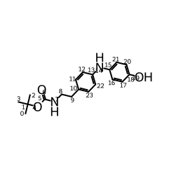 CC(C)(C)OC(=O)NCCc1ccc(Nc2ccc(O)cc2)cc1